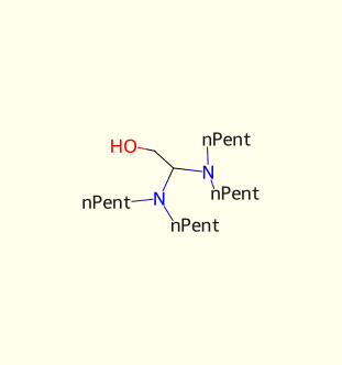 CCCCCN(CCCCC)C(CO)N(CCCCC)CCCCC